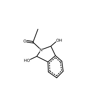 CC(=O)N1C(O)c2ccccc2C1O